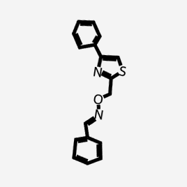 C(=NOCc1nc(-c2ccccc2)cs1)c1ccccc1